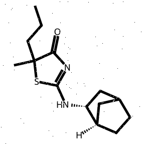 CCCC1(C)SC(N[C@@H]2CC3CC[C@@H]2C3)=NC1=O